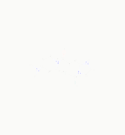 CN(C)C1CCN(C(=O)CCc2nccn2C(F)F)CC1